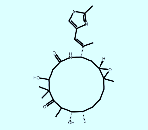 CC(=Cc1csc(C)n1)[C@@H]1C[C@@H]2OC2(C)CCC[C@H](C)[C@H](O)C(C)C(=O)C(C)(C)C(O)CC(=O)N1